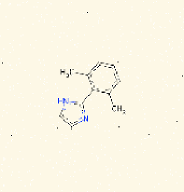 Cc1cccc(C)c1-c1n[c]c[nH]1